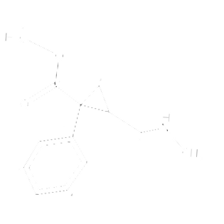 CNCC1CC1(C(=O)OC)c1ccccc1